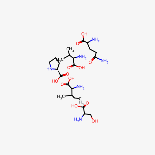 CC(C)C(N)C(=O)O.CCC(C)C(N)C(=O)O.NC(=O)CCC(N)C(=O)O.NC(CO)C(=O)O.O=C(O)[C@@H]1CCCN1